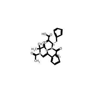 CC(=O)N([C@@H](Cc1ccccc1)C(=O)C(=O)O)N1C(=O)C(C)(C)N(C(C)=O)C=C1c1ccccc1